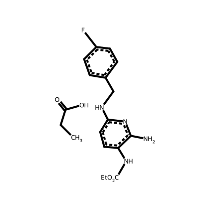 CCC(=O)O.CCOC(=O)Nc1ccc(NCc2ccc(F)cc2)nc1N